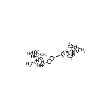 COC(=O)N[C@H](C(=O)N1[C@@H]2C[C@@H]2C[C@H]1c1nc(C#Cc2ccc3cc(-c4c[nH]c([C@@H]5C[C@H](C)CN5C(=O)[C@@H](NC(=O)O)C(C)C)n4)ccc3c2)c[nH]1)C(C)C